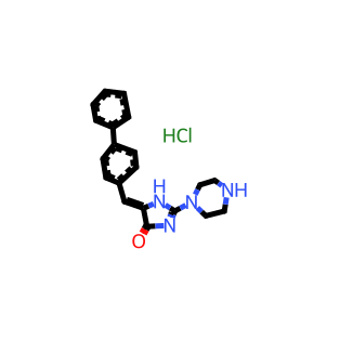 Cl.O=C1N=C(N2CCNCC2)NC1=Cc1ccc(-c2ccccc2)cc1